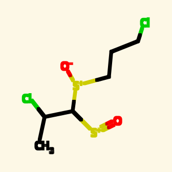 CC(Cl)C([S+]=O)[S+]([O-])CCCCl